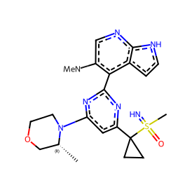 CNc1cnc2[nH]ccc2c1-c1nc(N2CCOC[C@H]2C)cc(C2(S(C)(=N)=O)CC2)n1